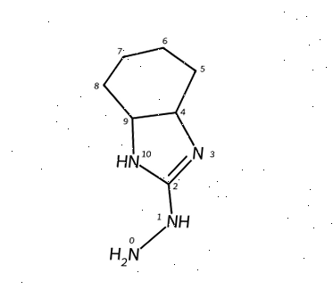 NNC1=NC2CCCCC2N1